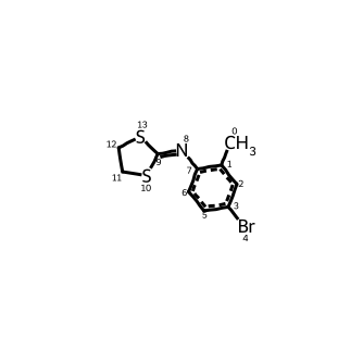 Cc1cc(Br)ccc1N=C1SCCS1